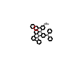 CCCCc1ccc(N2c3cc(N(c4ccccc4)c4ccccc4)ccc3B3c4c(cc(-c5ccccc5)cc42)-c2cccc4c5ccccc5n3c24)c(-c2ccccc2)c1